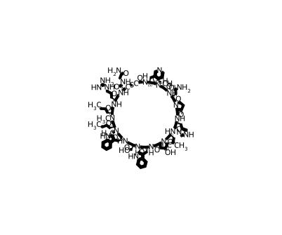 CCCC[C@H]1C(=O)N(C)[C@@H](CCCC)C(=O)N[C@@H](CCCNC(=N)N)C(=O)N[C@H](C(=O)NCC(N)=O)CSCC(=O)N[C@@H](Cc2cccnc2)C(=O)N(C)[C@@H](C)C(=O)N[C@@H](CC(N)=O)C(=O)N2CCC[C@H]2C(=O)N[C@@H](Cc2c[nH]cn2)C(=O)N[C@@H](CC(C)C)C(=O)N2C[C@H](O)CC2C(=O)N[C@@H](Cc2c[nH]c3ccccc23)C(=O)N[C@@H](CO)C(=O)N[C@@H](Cc2c[nH]c3ccccc23)C(=O)N1C